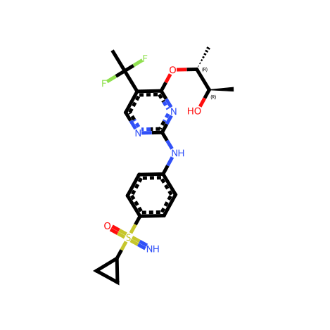 C[C@@H](O)[C@@H](C)Oc1nc(Nc2ccc(S(=N)(=O)C3CC3)cc2)ncc1C(C)(F)F